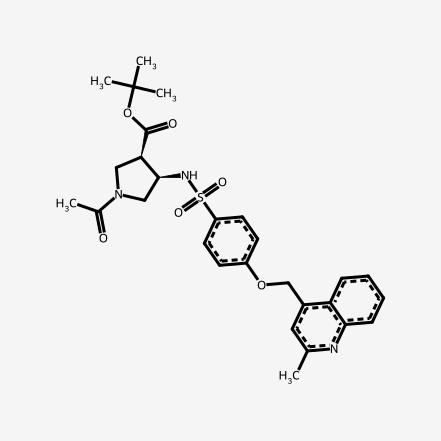 CC(=O)N1C[C@H](NS(=O)(=O)c2ccc(OCc3cc(C)nc4ccccc34)cc2)[C@H](C(=O)OC(C)(C)C)C1